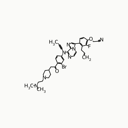 C=CCc1c(-c2cnc3c(N(C#CC)c4ccc(C(=O)CC5CCN(CCN(C)C)CC5)c(Br)c4)nccn23)ccc(OCC#N)c1F